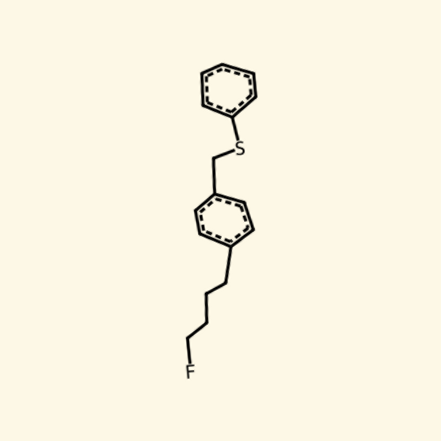 FCCCCc1ccc(CSc2ccccc2)cc1